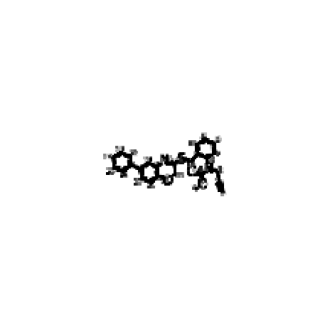 C#CCN(C(=O)OC)c1ccccc1CSC1=Nc2cc(-c3ccccc3)ccc2OC1